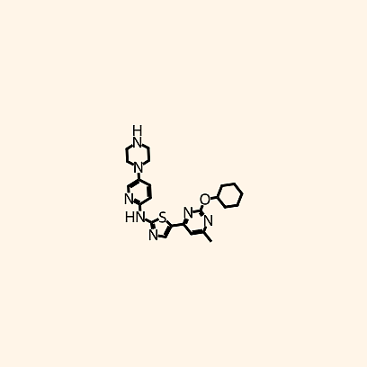 Cc1cc(-c2cnc(Nc3ccc(N4CCNCC4)cn3)s2)nc(OC2CCCCC2)n1